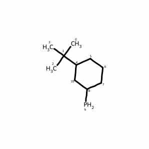 CC(C)(C)C1CCCC(P)C1